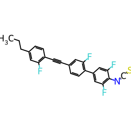 CCCc1ccc(C#Cc2ccc(-c3cc(F)c(N=C=S)c(F)c3)c(F)c2)c(F)c1